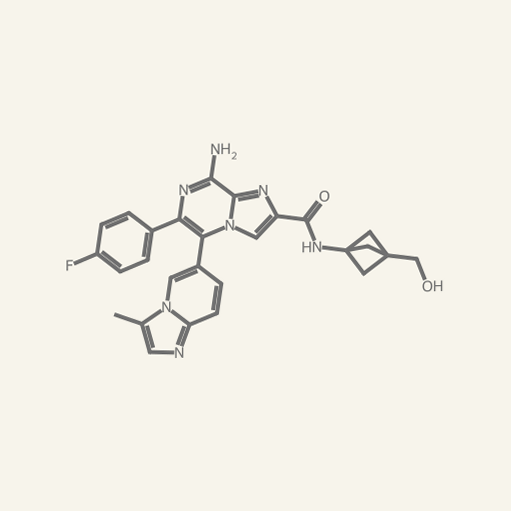 Cc1cnc2ccc(-c3c(-c4ccc(F)cc4)nc(N)c4nc(C(=O)NC56CC(CO)(C5)C6)cn34)cn12